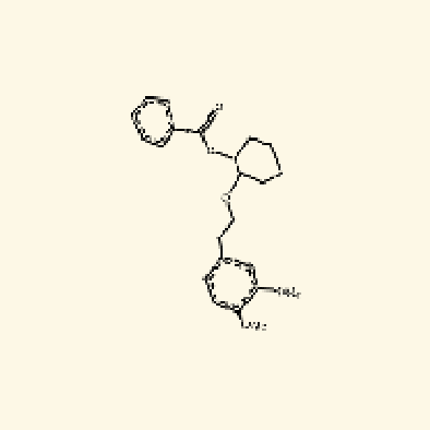 COc1ccc(CCOC2CCCCC2OC(=O)c2ccccc2)cc1OC